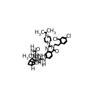 CC(C)N1CCN(c2nc3cc(N/C(=N/[C@H]4C[C@@H]5CC([C@@H]4C)C5(C)C)NNC(N)=O)ccc3c(=O)n2CCc2ccc(Cl)cc2Cl)CC1